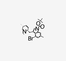 Cc1cc(Br)c2c(C[C@@H]3C=C[C@@H](C)CN3C)cn(C(=O)OC(C)(C)C)c2c1